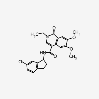 CCn1cc(C(=O)NC2CCc3ccc(Cl)cc32)c2cc(OC)c(OC)cc2c1=O